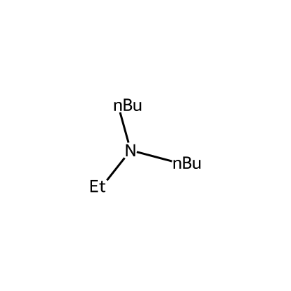 [CH2]CCCN(CC)CCCC